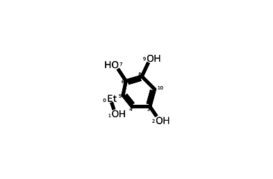 CCO.Oc1ccc(O)c(O)c1